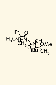 CCC(C)C(C(C)OC)N(C)C(=O)CNC(=O)C(C(C)C)N(C)C